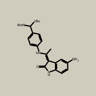 CCCCC(NC)c1ccc(N/C(C)=C2\C(=O)Nc3ccc(N)cc32)cc1